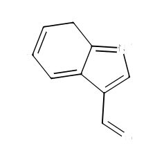 O=CC1=CN=C2CC=CC=C12